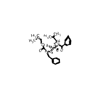 CC(C)CSP(=O)(NSN(Cc1ccccc1)C(=O)OCCN(C)C)NC(=O)c1ccccc1